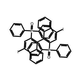 O=P(c1ccccc1)(c1ccccc1)c1cc(I)c2ccccc2c1-c1c(P(=O)(c2ccccc2)c2ccccc2)cc(I)c2ccccc12